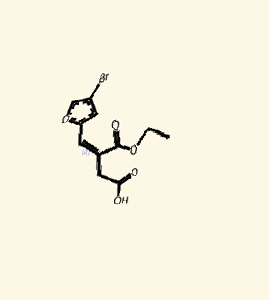 CCOC(=O)/C(=C\c1cc(Br)co1)CC(=O)O